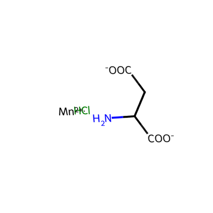 Cl.NC(CC(=O)[O-])C(=O)[O-].[Mn+2]